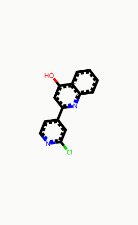 Oc1cc(-c2ccnc(Cl)c2)nc2ccccc12